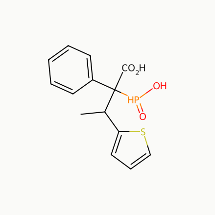 CC(c1cccs1)C(C(=O)O)(c1ccccc1)[PH](=O)O